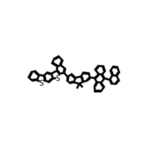 CC1(C)c2ccc(-c3cc4ccccc4c4c3sc3cc5sc6ccccc6c5cc34)cc2-c2ccc(-c3c4ccccc4c(-c4cccc5ccccc45)c4ccccc34)cc21